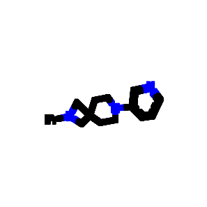 CC(C)N1CC2(CCN(c3cccnc3)CC2)C1